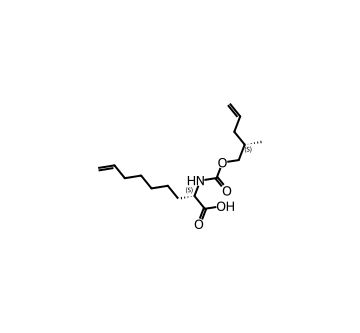 C=CCCCCC[C@H](NC(=O)OC[C@@H](C)CC=C)C(=O)O